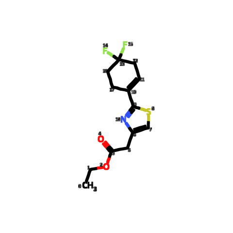 CCOC(=O)Cc1csc(C2=CCC(F)(F)CC2)n1